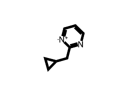 C1=CN=C(CC2CC2)[N+]=C1